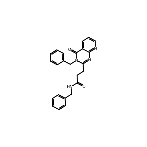 O=C(CCc1nc2ncccc2c(=O)n1Cc1ccccc1)NCc1ccccc1